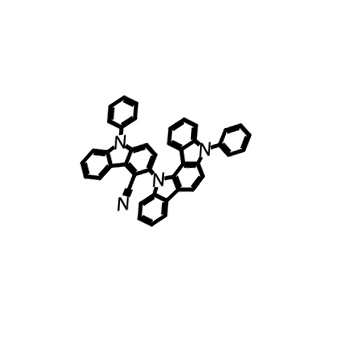 N#Cc1c(-n2c3ccccc3c3ccc4c(c5ccccc5n4-c4ccccc4)c32)ccc2c1c1ccccc1n2-c1ccccc1